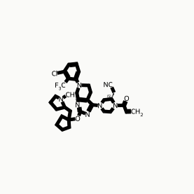 C=CC(=O)N1CCN(c2nc(OC3(CC4CCCN4C)CCCC3)nc3c2CCN(c2cccc(Cl)c2C(F)(F)F)C3)C[C@@H]1CC#N